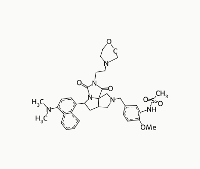 COc1ccc(CN2CC3CC(c4ccc(N(C)C)c5ccccc45)N4C(=O)N(CCN5CCOCC5)C(=O)C34C2)cc1NS(C)(=O)=O